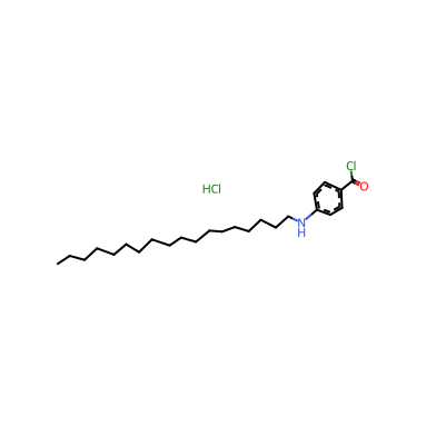 CCCCCCCCCCCCCCCCCCNc1ccc(C(=O)Cl)cc1.Cl